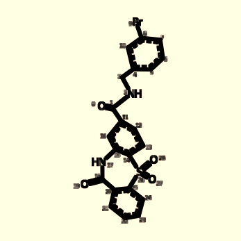 O=C(NCc1cccc(Br)c1)c1ccc2c(c1)NC(=O)c1ccccc1S2(=O)=O